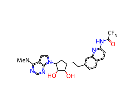 CNc1ncnc2c1ccn2C1C[C@H](CCc2ccc3ccc(NC(=O)C(F)(F)F)nc3c2)[C@@H](O)[C@H]1O